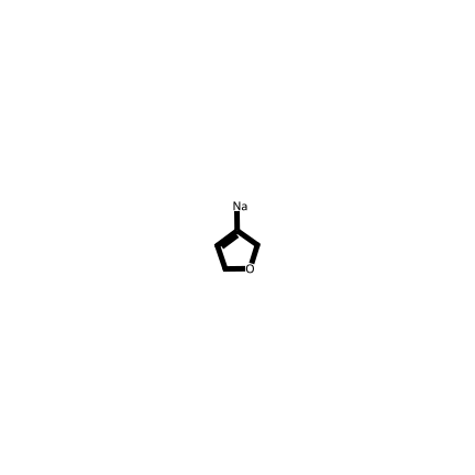 [Na][C]1=CCOC1